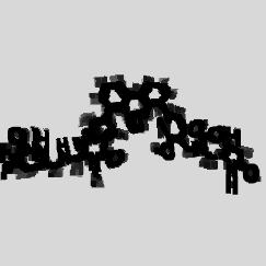 COc1nc(-c2cccc(-c3cccc(-c4cc5c(=O)n(C)c(CNCC6CC(F)(F)C(=O)N6)nn5c4)c3Cl)c2Cl)ccc1CN(C[C@@H]1CCC(=O)N1)C(=O)O